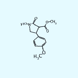 COC(=O)C1C(=O)N(O)CC1c1ccc(OC)cc1